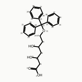 O=C(O)CC(O)CC(O)CCOC(c1ccccc1)(c1ccccc1)c1ccccc1